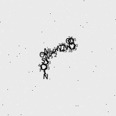 N#Cc1ccc2sc(N(CCCCN3CCN(c4cccc5c4OCC5)CC3)C(N)=O)cc2c1